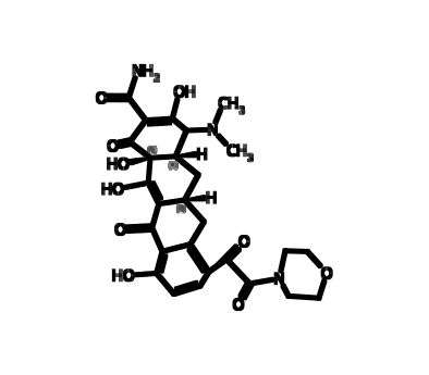 CN(C)C1C(O)=C(C(N)=O)C(=O)[C@@]2(O)C(O)=C3C(=O)c4c(O)ccc(C(=O)C(=O)N5CCOCC5)c4C[C@H]3C[C@@H]12